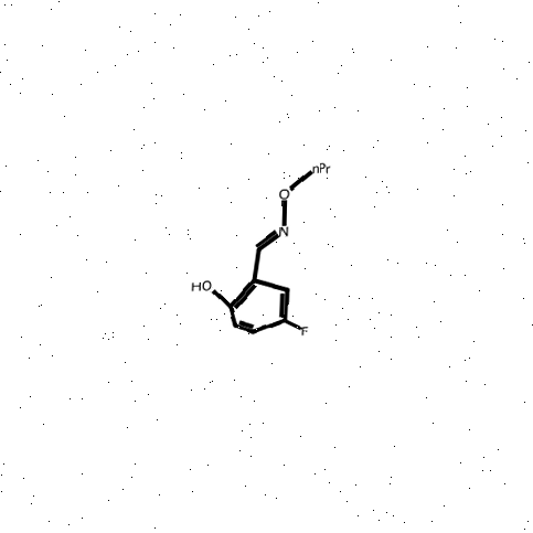 CCCO/N=C/c1cc(F)ccc1O